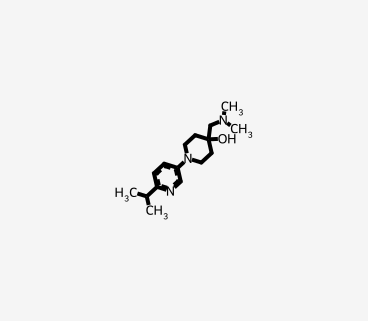 CC(C)c1ccc(N2CCC(O)(CN(C)C)CC2)cn1